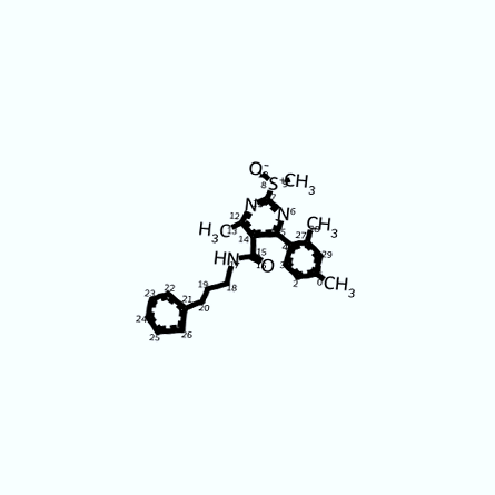 Cc1ccc(-c2nc([S+](C)[O-])nc(C)c2C(=O)NCCCc2ccccc2)c(C)c1